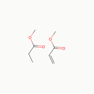 C=CC(=O)OC.CCC(=O)OC